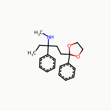 CCC(CCC1(c2ccccc2)OCCO1)(NC)c1ccccc1